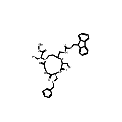 CC(C)C[C@@H]1NC(CNC(=O)OCC2c3ccccc3-c3ccccc32)CCN([C@@H](CC(C)C)C(=O)OC(C)(C)C)C(=O)CNC(=O)[C@H](COCc2ccccc2)NC1=O